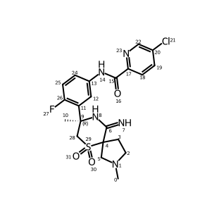 CN1CCC2(C1)C(=N)N[C@](C)(c1cc(NC(=O)c3ccc(Cl)cn3)ccc1F)CS2(=O)=O